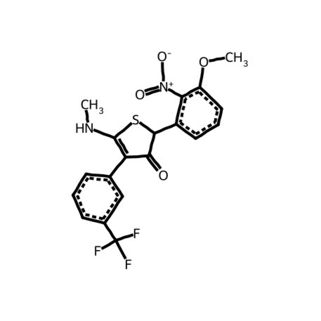 CNC1=C(c2cccc(C(F)(F)F)c2)C(=O)C(c2cccc(OC)c2[N+](=O)[O-])S1